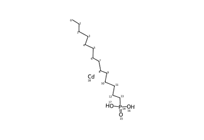 CCCCCCCCCCCCCCP(=O)(O)O.[Cd]